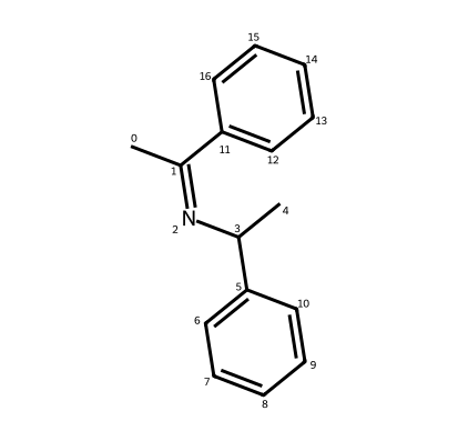 CC(=NC(C)c1ccccc1)c1ccccc1